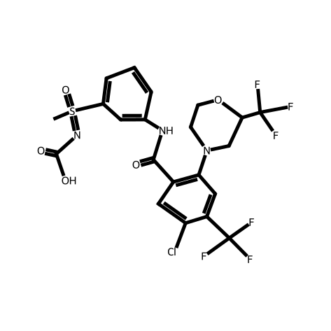 CS(=O)(=NC(=O)O)c1cccc(NC(=O)c2cc(Cl)c(C(F)(F)F)cc2N2CCOC(C(F)(F)F)C2)c1